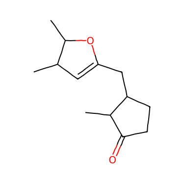 CC1C=C(CC2CCC(=O)C2C)OC1C